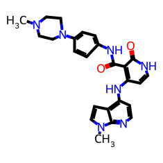 CN1CCN(c2ccc(NC(=O)c3c(Nc4ccnc5c4ccn5C)cc[nH]c3=O)cc2)CC1